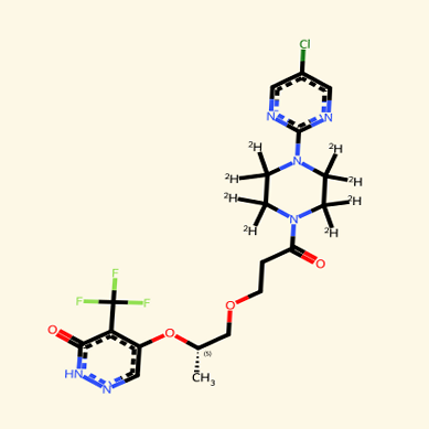 [2H]C1([2H])N(C(=O)CCOC[C@H](C)Oc2cn[nH]c(=O)c2C(F)(F)F)C([2H])([2H])C([2H])([2H])N(c2ncc(Cl)cn2)C1([2H])[2H]